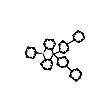 c1ccc(-c2ccc(C3(c4ccc(-c5ccccc5)cc4)c4ccccc4N(c4ccccc4)c4ccccc43)cc2)cc1